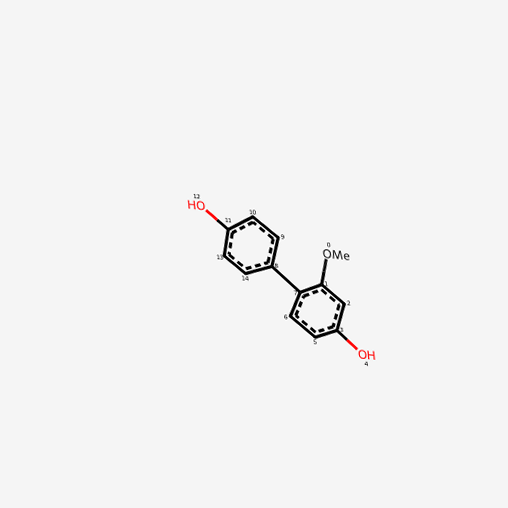 COc1cc(O)ccc1-c1ccc(O)cc1